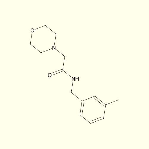 Cc1cccc(CNC(=O)CN2CCOCC2)c1